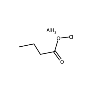 CCCC(=O)OCl.[AlH3]